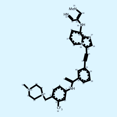 C=C(Nc1ccc(CN2CCN(C)CC2)c(C(F)(F)F)c1)c1cccc(C#Cc2cnc3c(N/C(C=N)=C/NC)cccn23)c1